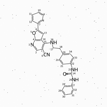 N#Cc1cnc2oc(-c3ccccc3)cc2c1NCCc1ccc(NC(=O)Nc2ccccc2)cc1